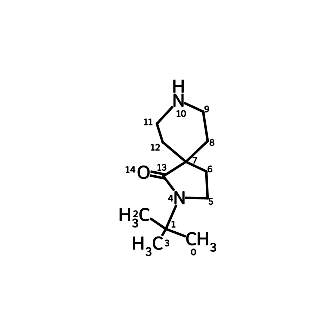 CC(C)(C)N1CCC2(CCNCC2)C1=O